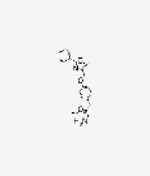 CCO[C@H](CN)Cc1ccc(OCc2nc(-c3ccccc3)oc2C)cc1